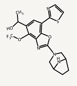 CC(O)c1cc(-c2nccs2)c2oc(N3CC4CCC(C3)N4)nc2c1OC(F)(F)F